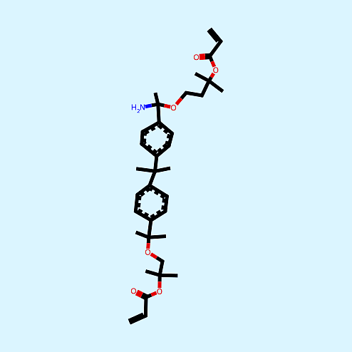 C=CC(=O)OC(C)(C)CCOC(C)(N)c1ccc(C(C)(C)c2ccc(C(C)(C)OCC(C)(C)OC(=O)C=C)cc2)cc1